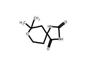 CC1(C)CC2(CCO1)NC(=O)NC2=O